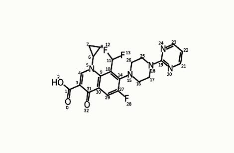 O=C(O)c1cn(C2CC2)c2c(C(F)F)c(N3CCN(c4ncccn4)CC3)c(F)cc2c1=O